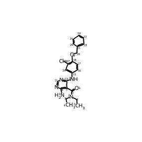 CCN(CC)C(=O)c1c(N)ncnc1Nc1ccc(OCc2ccccc2)c(Cl)c1